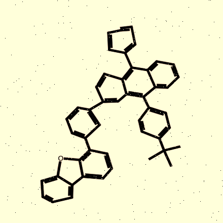 CC(C)(C)c1ccc(-c2c3ccccc3c(-c3ccccc3)c3ccc(-c4cccc(-c5cccc6c5oc5ccccc56)c4)cc23)cc1